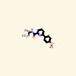 CCOc1ccc(-c2cccc(C(=O)N[C@@H](CC)C(=O)O)n2)cc1